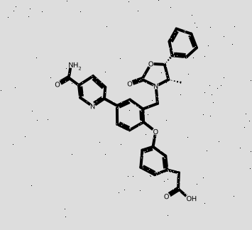 C[C@H]1[C@@H](c2ccccc2)OC(=O)N1Cc1cc(-c2ccc(C(N)=O)cn2)ccc1Oc1cccc(CC(=O)O)c1